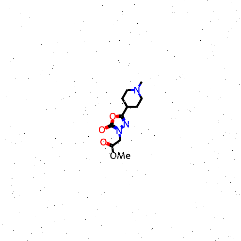 COC(=O)Cn1nc(C2CCN(C)CC2)oc1=O